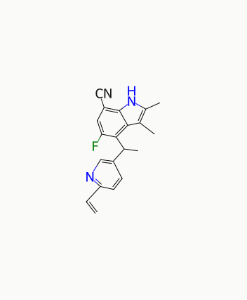 C=Cc1ccc(C(C)c2c(F)cc(C#N)c3[nH]c(C)c(C)c23)cn1